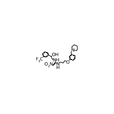 O=[N+]([O-])C=C(NCCCOc1cccc(CN2CCCCC2)c1)NCC(O)c1cccc(C(F)(F)F)c1